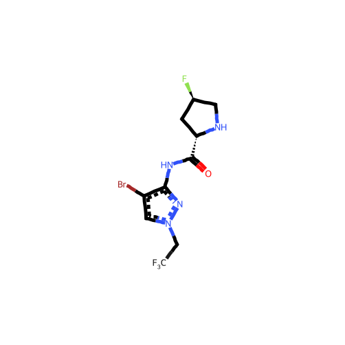 O=C(Nc1nn(CC(F)(F)F)cc1Br)[C@@H]1C[C@@H](F)CN1